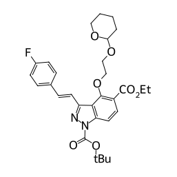 CCOC(=O)c1ccc2c(c(C=Cc3ccc(F)cc3)nn2C(=O)OC(C)(C)C)c1OCCOC1CCCCO1